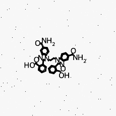 NC(=O)c1ccc2c(c1)nc(-c1ccccc1C(=O)O)n2CCn1c(-c2ccccc2C(=O)O)nc2cc(C(N)=O)ccc21